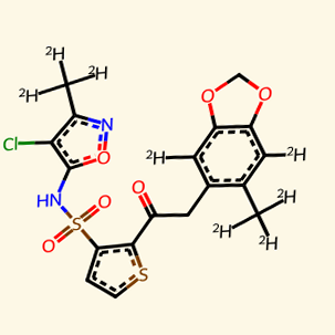 [2H]c1c(CC(=O)c2sccc2S(=O)(=O)Nc2onc(C([2H])([2H])[2H])c2Cl)c(C([2H])([2H])[2H])c([2H])c2c1OCO2